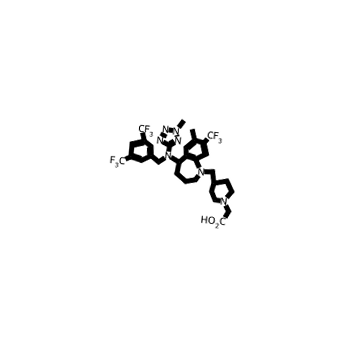 Cc1cc2c(cc1C(F)(F)F)N(CC1CCN(CC(=O)O)CC1)CCCC2N(Cc1cc(C(F)(F)F)cc(C(F)(F)F)c1)c1nnn(C)n1